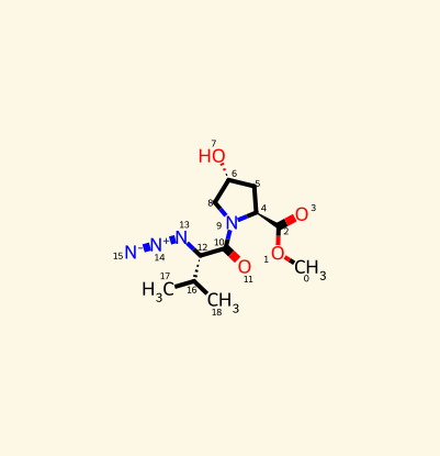 COC(=O)[C@@H]1C[C@@H](O)CN1C(=O)[C@@H](N=[N+]=[N-])C(C)C